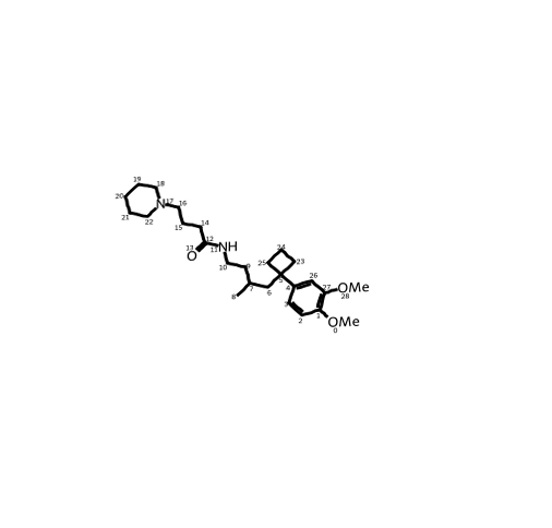 COc1ccc(C2(CC(C)CCNC(=O)CCCN3CCCCC3)CCC2)cc1OC